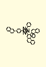 c1ccc(-c2nc(-c3ccc(-c4ccc5ccccc5c4)cc3)nc(-c3cc4ccc5ccccc5c4c4oc5c6ccccc6ccc5c34)n2)cc1